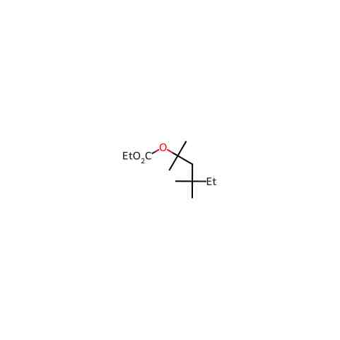 CCOC(=O)OC(C)(C)CC(C)(C)CC